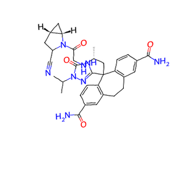 CC(C)n1nc(C2(C[C@@H](C)NCC(=O)N3C(C#N)C[C@@H]4C[C@@H]43)c3ccc(C(N)=O)cc3CCc3cc(C(N)=O)ccc32)[nH]c1=O